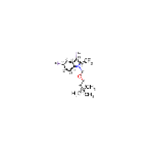 C[Si](C)(C)CCOCn1c(C(F)(F)F)c(I)c2cc(I)ccc21